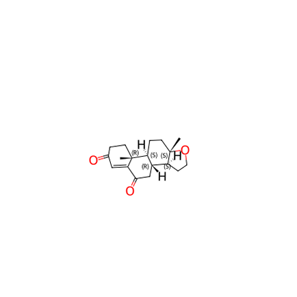 C[C@]12CCC(=O)C=C1C(=O)C[C@@H]1[C@@H]2CC[C@]2(C)OCC[C@@H]12